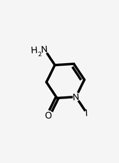 NC1C=CN(I)C(=O)C1